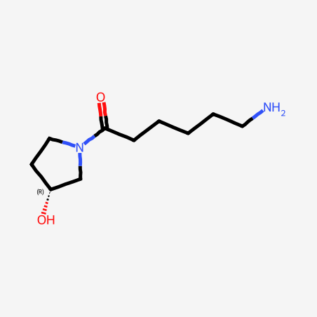 NCCCCCC(=O)N1CC[C@@H](O)C1